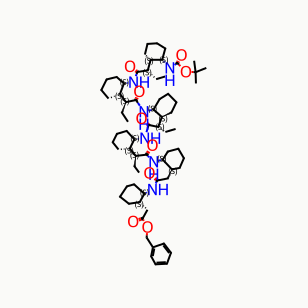 CC[C@H](C(=O)N[C@H]1CCCC[C@H]1[C@H](CC)C(=O)N[C@H]1CCCC[C@H]1[C@H](CC)C(=O)N[C@H]1CCCC[C@H]1[C@H](CC)C(=O)N[C@H]1CCCC[C@H]1CC(=O)N[C@H]1CCCC[C@H]1CC(=O)OCc1ccccc1)[C@@H]1CCCC[C@@H]1NC(=O)OC(C)(C)C